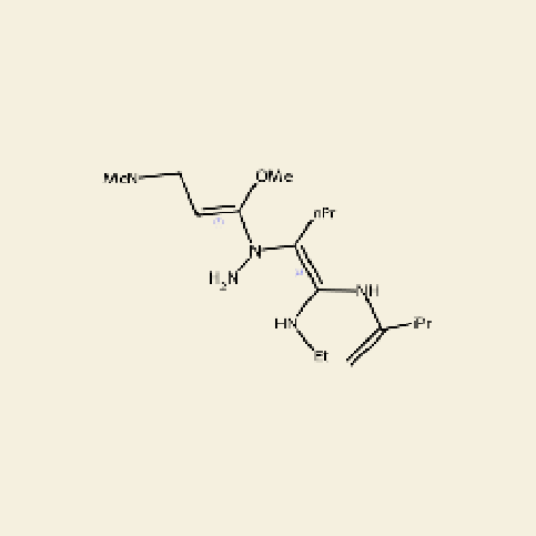 C=C(N/C(NCC)=C(\CCC)N(N)/C(=C/CNC)OC)C(C)C